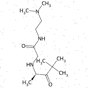 C[C@@H](NCC(=O)NCCN(C)C)C(=O)C(C)(C)C